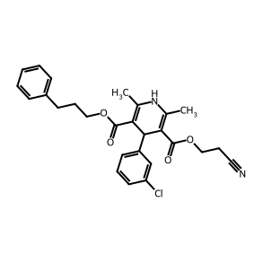 CC1=C(C(=O)OCCC#N)C(c2cccc(Cl)c2)C(C(=O)OCCCc2ccccc2)=C(C)N1